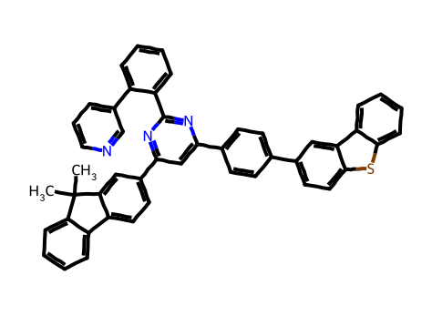 CC1(C)c2ccccc2-c2ccc(-c3cc(-c4ccc(-c5ccc6sc7ccccc7c6c5)cc4)nc(-c4ccccc4-c4cccnc4)n3)cc21